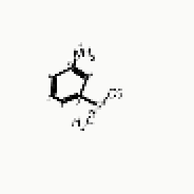 C[S+]([O-])c1cccc(N)c1